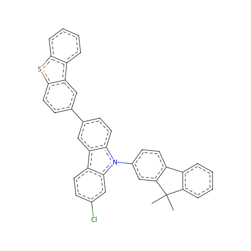 CC1(C)c2ccccc2-c2ccc(-n3c4ccc(-c5ccc6sc7ccccc7c6c5)cc4c4ccc(Cl)cc43)cc21